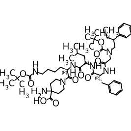 CCC(CN(CC(=O)N[C@H](Cc1ccccc1)C(=O)N[C@H](CC(C)C)C(=O)N[C@H](CCCCNC(=O)OC(C)(C)C)C(=O)N1CCC(N)(C(=O)O)CC1)C(=O)OC(C)(C)C)c1ccccc1